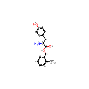 N[C@@H](Cc1ccc(O)cc1)C(=O)OCc1ccccc1[N+](=O)[O-]